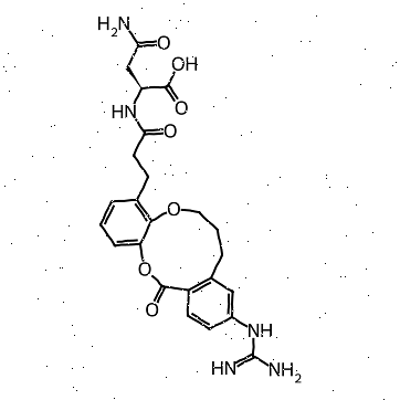 N=C(N)Nc1ccc2c(c1)CCCOc1c(CCC(=O)N[C@@H](CC(N)=O)C(=O)O)cccc1OC2=O